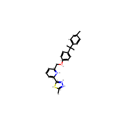 Cc1ccc(C(C)(C)c2ccc(OCc3cccc(-c4nnc(C)s4)n3)cc2)cc1